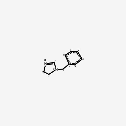 [C]1CN(Cc2ccccc2)C=N1